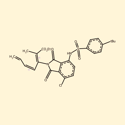 C=C/C=C\C(=C(/C)C(=O)OCC)N1C(=O)c2c(Cl)ccc(NS(=O)(=O)c3ccc(C(C)(C)C)cc3)c2C1=O